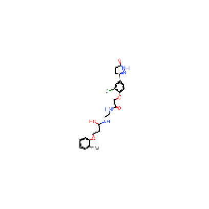 N#Cc1ccccc1OCCC(O)NCCNC(=O)COc1ccc(C2=NNC(=O)CC2)cc1Cl